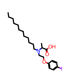 CCCCCCCCCCCCN(CCOc1ccc(I)cc1)C(C)C(=O)O